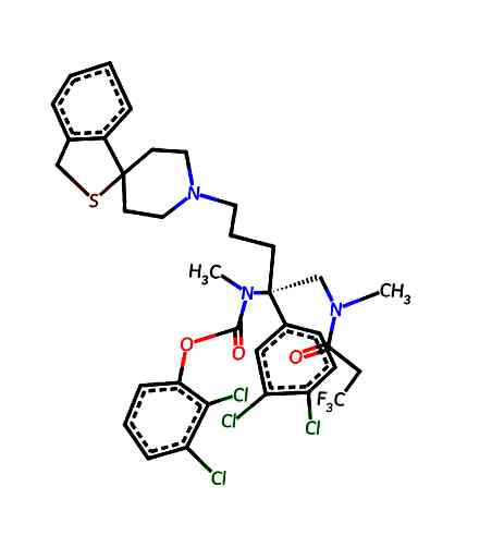 CN(C[C@](CCCN1CCC2(CC1)SCc1ccccc12)(c1ccc(Cl)c(Cl)c1)N(C)C(=O)Oc1cccc(Cl)c1Cl)C(=O)CC(F)(F)F